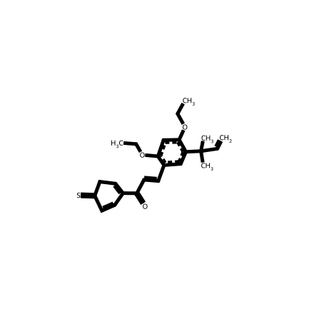 C=CC(C)(C)c1cc(C=CC(=O)C2=CCC(=S)C=C2)c(OCC)cc1OCC